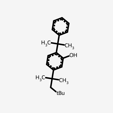 CC(C)(C)CC(C)(C)c1ccc(C(C)(C)c2ccccc2)c(O)c1